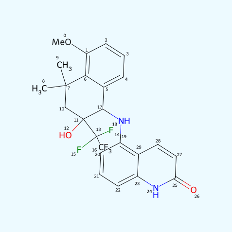 COc1cccc2c1C(C)(C)CC(O)(C(F)(F)C(F)(F)F)C2Nc1cccc2[nH]c(=O)ccc12